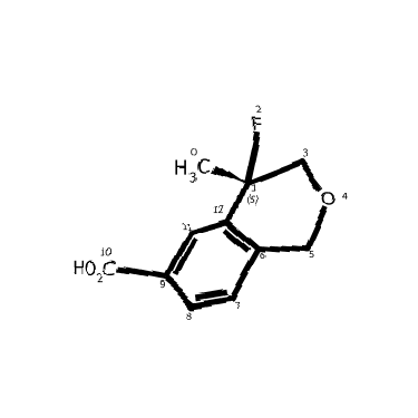 C[C@@]1(F)COCc2ccc(C(=O)O)cc21